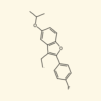 [CH2]Cc1c(-c2ccc(F)cc2)oc2ccc(OC(C)C)cc12